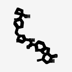 C[C@@H]1CNC(=O)c2cc3ccc(C(=O)Nc4cnn(Cc5ccc(C6(O)CCC6)nc5)c4)nc3n21